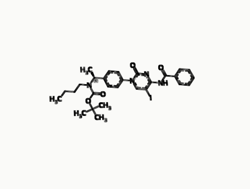 CCCCN(C(=O)OC(C)(C)C)[C@@H](C)c1ccc(-n2cc(I)c(NC(=O)c3ccccc3)nc2=O)cc1